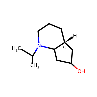 CC(C)N1CCC[C@@H]2CC(O)CC21